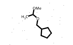 COC(C)OCC1CCCC1